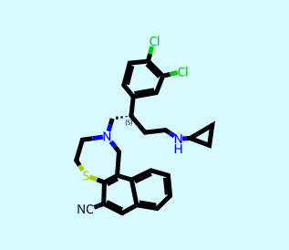 N#Cc1cc2ccccc2c2c1SCCN(C[C@@H](CCNC1CC1)c1ccc(Cl)c(Cl)c1)C2